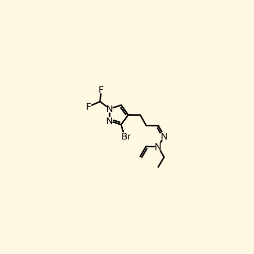 C=CN(CC)/N=C\CCc1cn(C(F)F)nc1Br